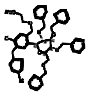 CCc1ccc(Cc2cc([C@@H]3O[C@H](COCc4ccccc4)[C@@H](OCc4ccccc4)[C@H](OCc4ccccc4)[C@H]3OCc3ccccc3)c(COCCOC)cc2Cl)cc1